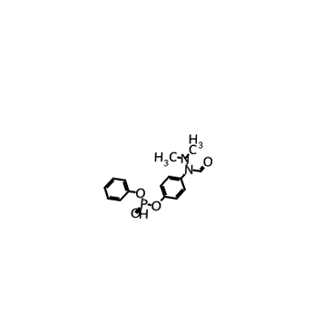 CN(C)N(C=O)c1ccc(O[PH](=O)Oc2ccccc2)cc1